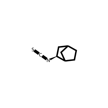 S=C=N[C@H]1CC2CCC1C2